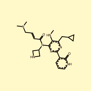 CNc1c(CC2CC2)nc(-c2ccc[nH]c2=O)nc1N(C(=O)C=CCN(C)C)C1CNC1